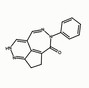 O=C1C2=C3C(=CNN=C3CC2)C=NN1c1ccccc1